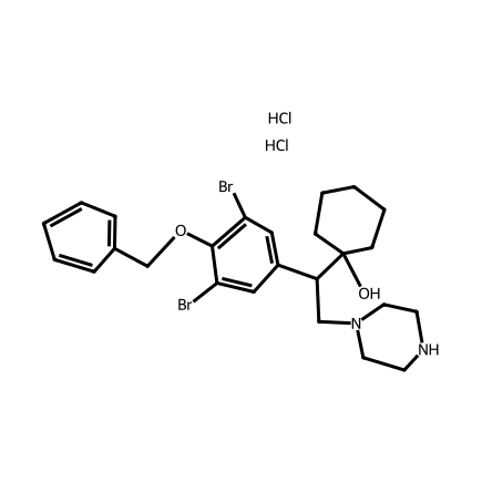 Cl.Cl.OC1(C(CN2CCNCC2)c2cc(Br)c(OCc3ccccc3)c(Br)c2)CCCCC1